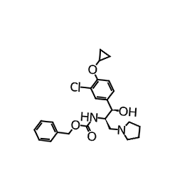 O=C(N[C@H](CN1CCCC1)[C@H](O)c1ccc(OC2CC2)c(Cl)c1)OCc1ccccc1